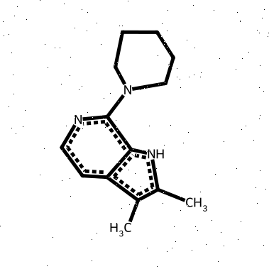 Cc1[nH]c2c(N3CCCCC3)nccc2c1C